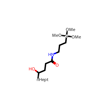 CCCCCCCC(O)CCC(=O)NCCC[Si](OC)(OC)OC